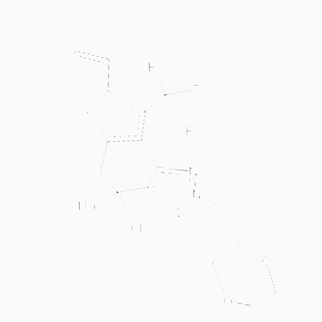 CC1(C)Cc2oc(C=O)c(C(F)(F)F)c2-c2nn(C[C@H]3COCCO3)cc21